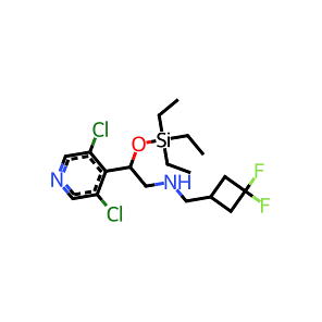 CC[Si](CC)(CC)OC(CNCC1CC(F)(F)C1)c1c(Cl)cncc1Cl